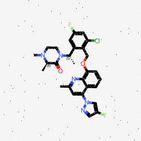 Cc1cc(-n2cc(F)cn2)c2cccc(OCc3c(Cl)cc(F)cc3[C@H](C)N3CCN(C)[C@H](C)C3=O)c2n1